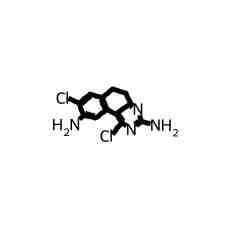 Nc1nc(Cl)c2c(n1)CCc1cc(Cl)c(N)cc1-2